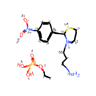 CCOP(=O)(O)O.NCCCN1CCSC1c1ccc([N+](=O)[O-])cc1